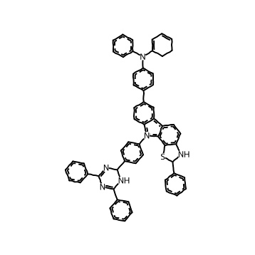 C1=CCCC(N(c2ccccc2)c2ccc(-c3ccc4c(c3)c3ccc5c(c3n4-c3ccc(C4N=C(c6ccccc6)N=C(c6ccccc6)N4)cc3)SC(c3ccccc3)N5)cc2)=C1